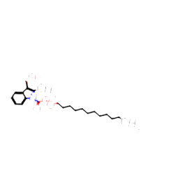 CCCCCCCCCCCCOOC(=O)n1c(C)c(C=O)c2ccccc21